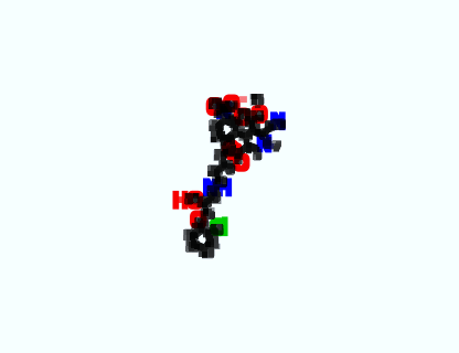 COC(=O)C1=CN(C)C(C#N)=C(C(=O)OC)C1c1cc([N+](=O)[O-])ccc1OCCCCNCC(O)COc1ccccc1Cl